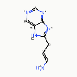 NC=CCc1nc2ncncc2[nH]1